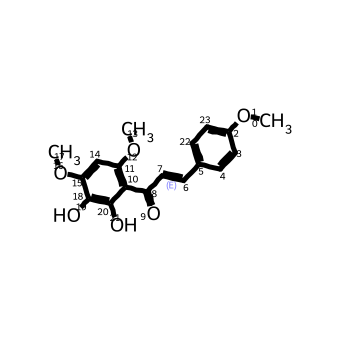 COc1ccc(/C=C/C(=O)c2c(OC)cc(OC)c(O)c2O)cc1